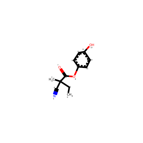 CCC(C)(C#N)C(=O)Oc1ccc(O)cc1